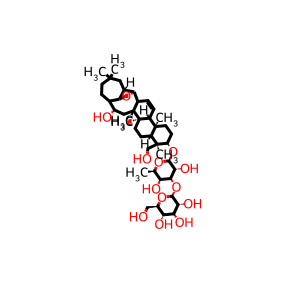 C[C@H]1O[C@@H](O[C@H]2CC[C@@]3(C)[C@@H](CC[C@]4(C)[C@@H]3C=CC3C5OCC6C(CCC(C)(C)C[C@H]65)[C@H](O)C[C@]34C)[C@]2(C)CO)[C@H](O)[C@@H](O[C@@H]2O[C@H](CO)[C@@H](O)[C@H](O)[C@H]2O)[C@H]1O